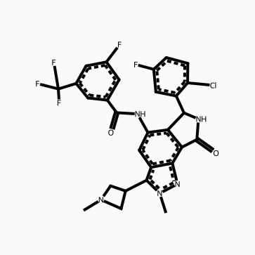 CN1CC(c2c3cc(NC(=O)c4cc(F)cc(C(F)(F)F)c4)c4c(c3nn2C)C(=O)NC4c2cc(F)ccc2Cl)C1